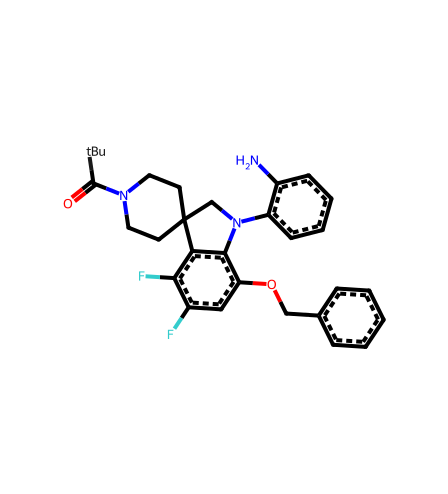 CC(C)(C)C(=O)N1CCC2(CC1)CN(c1ccccc1N)c1c(OCc3ccccc3)cc(F)c(F)c12